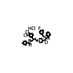 CN(CC(CCN1CCC(C(=O)c2nc3ccccc3n2Cc2ccc(F)cc2)CC1)c1ccc(Cl)c(Cl)c1)C(=O)c1ccccc1.Cl